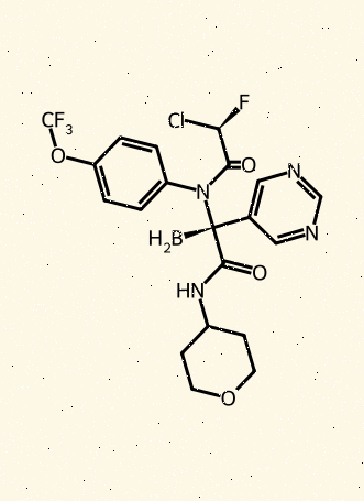 B[C@](C(=O)NC1CCOCC1)(c1cncnc1)N(C(=O)[C@H](F)Cl)c1ccc(OC(F)(F)F)cc1